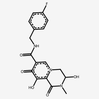 CN1C(=O)c2c(O)c(=O)c(C(=O)NCc3ccc(F)cc3)cn2CC1O